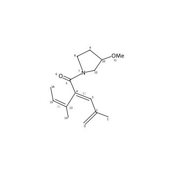 C=C(C)/C=C(C(=O)N1CCC(OC)C1)\C(C)=C/C